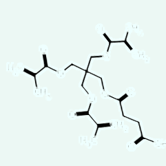 C=C(C)C(=O)OCC(COC(=O)CCC(=O)O)(COC(=O)C(=C)C)COC(=O)C(=C)C